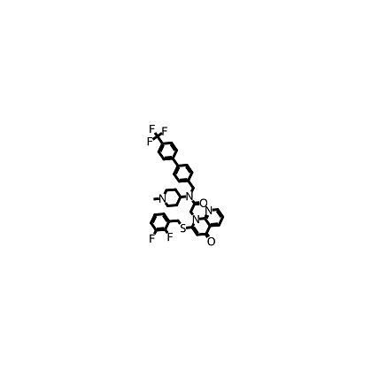 CN1CCC(N(Cc2ccc(-c3ccc(C(F)(F)F)cc3)cc2)C(=O)Cn2c(SCc3cccc(F)c3F)cc(=O)c3cccnc32)CC1